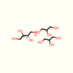 OCC(O)CO.OCC(O)CO.OC[C@@H](O)[C@@H](O)CO